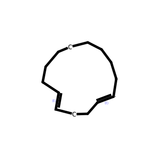 [C]1=C/CC/C=C/CCCCCCCC/1